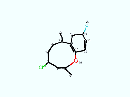 CC1CC(Cl)CCC(C)C2=C(C=CC(F)C2)O1